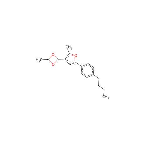 CCCCc1ccc(-c2cc(C3OC(C)O3)c(C)o2)cc1